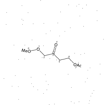 COOCC(=O)CCOC(C)=O